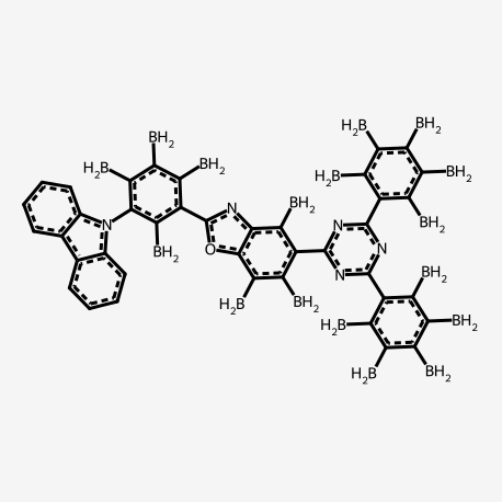 Bc1c(B)c(B)c(-c2nc(-c3c(B)c(B)c(B)c(B)c3B)nc(-c3c(B)c(B)c4oc(-c5c(B)c(B)c(B)c(-n6c7ccccc7c7ccccc76)c5B)nc4c3B)n2)c(B)c1B